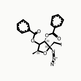 C[C@@H]1O[C@@](CI)(N=[N+]=[N-])[C@@H](OC(=O)c2ccccc2)C1OC(=O)c1ccccc1